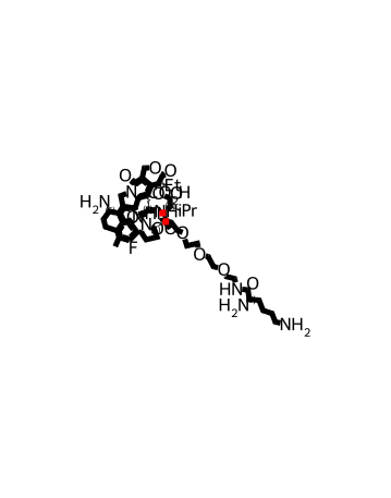 CC[C@@]1(OC(=O)[C@@H](NC(=O)[C@@H]2CCCN2C(=O)[C@H](CC(=O)O)NC(=O)CCOCCOCCOCCNC(=O)[C@@H](N)CCCCN)C(C)C)C(=O)OCc2c1cc1n(c2=O)Cc2c-1nc1cc(F)c(C)c3c1c2[C@@H](N)CC3